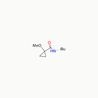 CC[C@@H](C)NC(=O)C1(OC)CC1